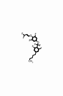 CCCCCc1cc(F)c(C(F)(F)Oc2cc(F)c(O/C=C/C(F)F)c(F)c2)c(F)c1